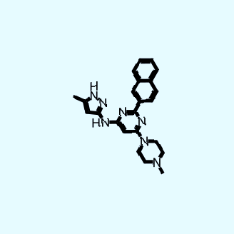 Cc1cc(Nc2cc(N3CCN(C)CC3)nc(-c3ccc4ccccc4c3)n2)n[nH]1